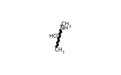 CCCCCCCCC=CNCC.Cl